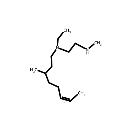 C/C=C\CCC(C)CCN(CC)CCNC